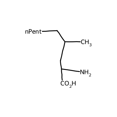 CCCCCCC(C)CC(N)C(=O)O